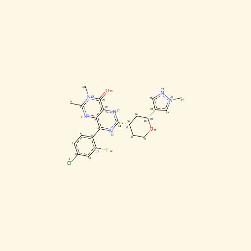 Cc1nc2c(-c3ccc(Cl)cc3F)nc([C@H]3CCO[C@@H](c4cnn(C)c4)C3)nc2c(=O)n1C